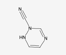 N#CN1C=NC=CN1